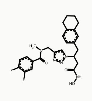 CN(Cc1cn(C(CC(=O)NO)Cc2ccc3c(c2)CCCC3)nn1)C(=O)c1ccc(F)c(F)c1